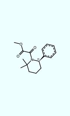 COC(=O)C(=O)N1[C@@H](c2ccccc2)CCCC1(C)C